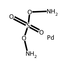 NOS(=O)(=O)ON.[Pd]